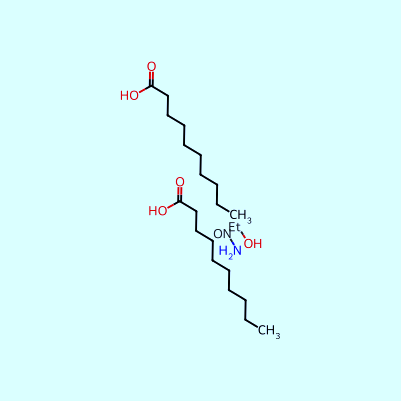 CCCCCCCCCC(=O)O.CCCCCCCCCC(=O)O.CCO.NN=O